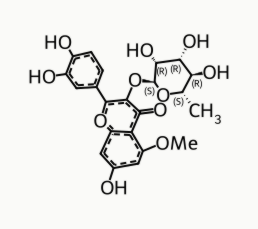 COc1cc(O)cc2oc(-c3ccc(O)c(O)c3)c(O[C@@H]3O[C@@H](C)[C@H](O)[C@@H](O)[C@H]3O)c(=O)c12